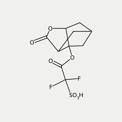 O=C1OC2CC3CC1C2(OC(=O)C(F)(F)S(=O)(=O)O)C3